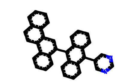 c1ccc2c(c1)ccc1c3ccccc3c(-c3c4ccccc4c(-c4cncnc4)c4ccccc34)cc21